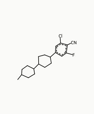 CC1CCC(C2CCC(c3cc(F)c(C#N)c(Cl)c3)CC2)CC1